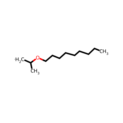 [CH2]C(C)OCCCCCCCCC